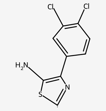 Nc1s[c]nc1-c1ccc(Cl)c(Cl)c1